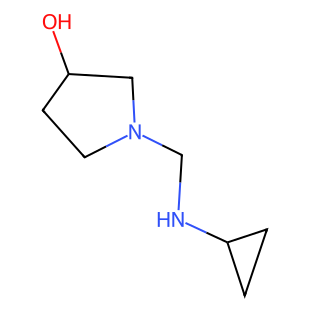 OC1CCN(CNC2CC2)C1